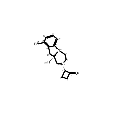 O=C1CC[C@@H]1N1CCN2c3cccc(Br)c3C[C@@H]2C1